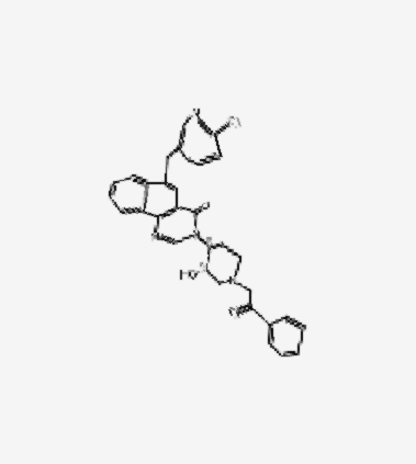 O=C(CN1CC[C@H](n2cnc3c(cc(Cc4ccc(Cl)nc4)c4ccccc43)c2=O)[C@@H](O)C1)c1ccccc1